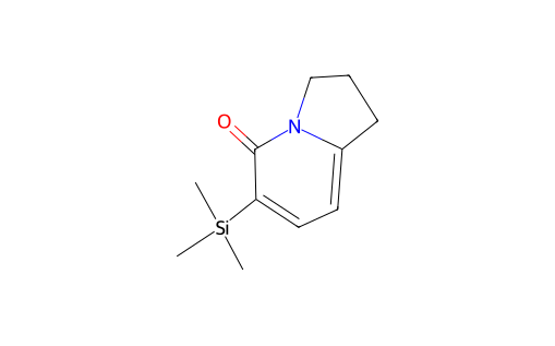 C[Si](C)(C)c1ccc2n(c1=O)CCC2